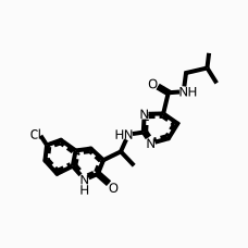 CC(C)CNC(=O)c1ccnc(NC(C)c2cc3cc(Cl)ccc3[nH]c2=O)n1